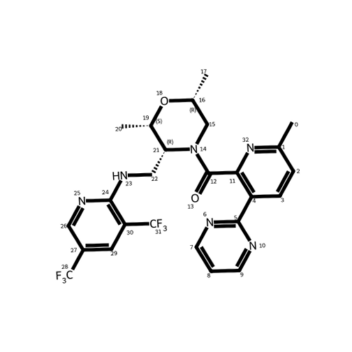 Cc1ccc(-c2ncccn2)c(C(=O)N2C[C@@H](C)O[C@@H](C)[C@H]2CNc2ncc(C(F)(F)F)cc2C(F)(F)F)n1